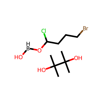 CC(C)(O)C(C)(C)O.OBOC(Cl)CCCBr